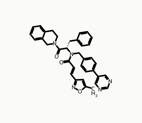 Cc1cc(/C=C/C(=O)N(Cc2ccc(-c3cncnc3)cc2)[C@@H](Cc2ccccc2)C(=O)N2CCc3ccccc3C2)no1